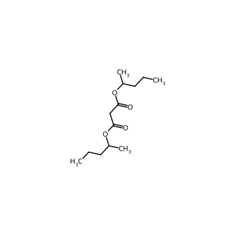 CCCC(C)OC(=O)CC(=O)OC(C)CCC